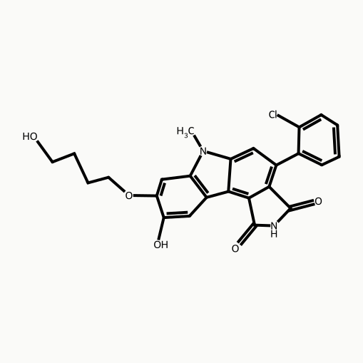 Cn1c2cc(OCCCCO)c(O)cc2c2c3c(c(-c4ccccc4Cl)cc21)C(=O)NC3=O